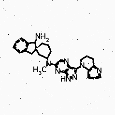 CN(c1cnc2c(N3CCCc4ncccc43)n[nH]c2n1)[C@@H]1CCC[C@]2(Cc3ccccc3[C@H]2N)C1